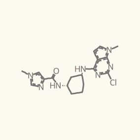 Cn1cnc(C(=O)N[C@H]2CCC[C@@H](Nc3nc(Cl)nc4c3ccn4C)C2)c1